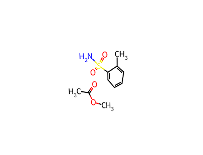 COC(C)=O.Cc1ccccc1S(N)(=O)=O